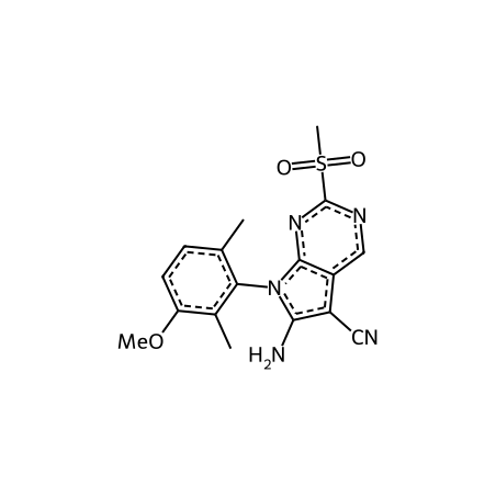 COc1ccc(C)c(-n2c(N)c(C#N)c3cnc(S(C)(=O)=O)nc32)c1C